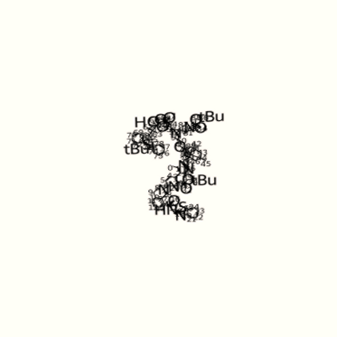 Cc1c(-c2ccc(N3CCc4cccc(C(=O)Nc5nc6ccccc6s5)c4C3)nc2C(=O)OC(C)(C)C)cnn1CC12CC3(C)CC(C)(C1)CC(OCCN(CCS(=O)(=O)OC(O)C(C)(C)CC[Si](c1ccccc1)(c1ccccc1)C(C)(C)C)C1CN(C(=O)OC(C)(C)C)C1)(C3)C2